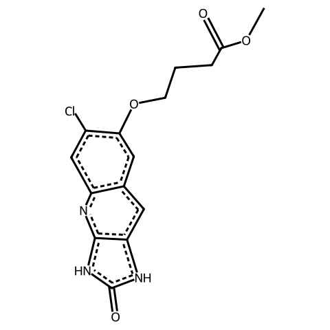 COC(=O)CCCOc1cc2cc3[nH]c(=O)[nH]c3nc2cc1Cl